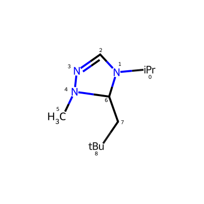 CC(C)N1C=NN(C)C1CC(C)(C)C